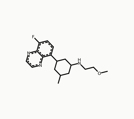 COCCNC1CC(C)CC(c2ccc(F)c3nccnc23)C1